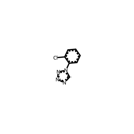 Clc1ccccc1-n1[c]nnn1